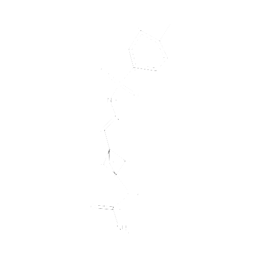 Cc1ccc(S(=O)(=O)NN=CC23CC(OC(N)=O)(C2)C3)cc1